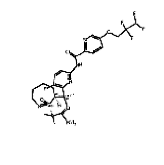 CC1(C)C(N)=N[C@](C)(c2nc(NC(=O)c3ccc(OCC(F)(F)C(F)F)cn3)ccc2F)[C@@H]2CCCCN=[S@@]21=O